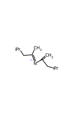 C=C(CC(C)C)/N=C(\C)CC(C)C